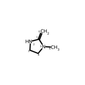 C=C1NCCN1C